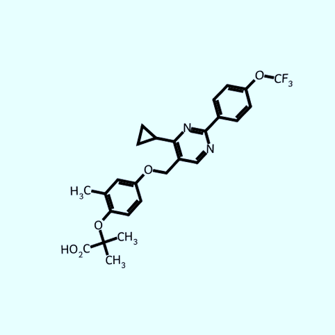 Cc1cc(OCc2cnc(-c3ccc(OC(F)(F)F)cc3)nc2C2CC2)ccc1OC(C)(C)C(=O)O